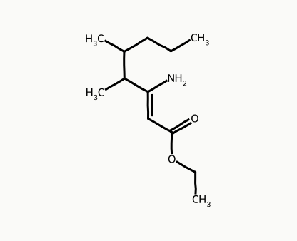 CCCC(C)C(C)C(N)=CC(=O)OCC